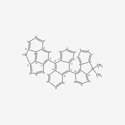 CC1(C)c2ccccc2-c2c(-c3c4ccccc4c(-c4cc5cccc6oc7cccc4c7c56)c4ccccc34)cccc21